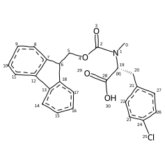 CN(C(=O)OCC1c2ccccc2-c2ccccc21)[C@H](Cc1ccc(Cl)cc1)C(=O)O